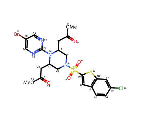 COC(=O)CC1CN(S(=O)(=O)c2cc3ccc(Cl)cc3s2)CC(CC(=O)OC)N1c1ncc(Br)cn1